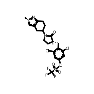 Cn1cc2c(n1)CCC(N1CC[C@@H](Cc3c(Cl)cc(OS(=O)(=O)C(F)(F)F)cc3Cl)C1=O)C2